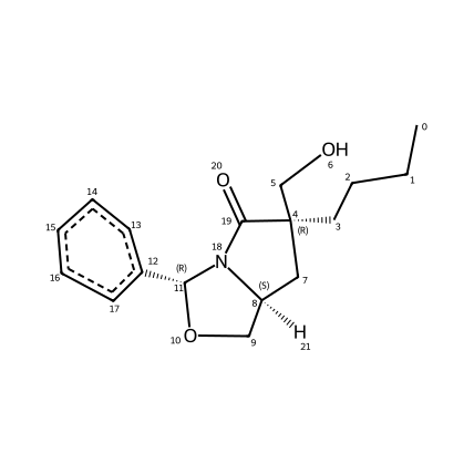 CCCC[C@]1(CO)C[C@H]2CO[C@H](c3ccccc3)N2C1=O